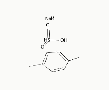 Cc1ccc(C)cc1.O=[SH](=O)O.[NaH]